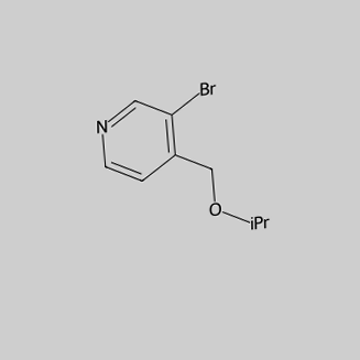 CC(C)OCc1ccncc1Br